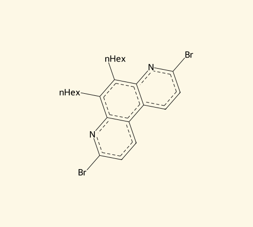 CCCCCCc1c(CCCCCC)c2nc(Br)ccc2c2ccc(Br)nc12